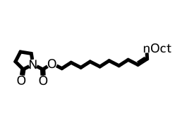 CCCCCCCC/C=C\CCCCCCCCOC(=O)N1CCCC1=O